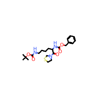 CC(C)(C)OC(=O)NCCCCC(NC(=O)OCc1ccccc1)C(=O)N1CCSC1